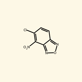 O=[N+]([O-])c1c(Cl)ccc2nonc12